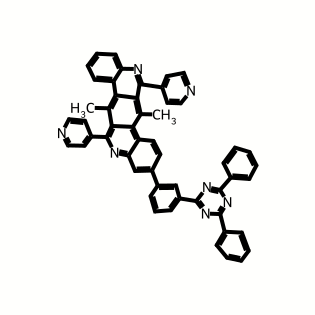 Cc1c2c(-c3ccncc3)nc3cc(-c4cccc(-c5nc(-c6ccccc6)nc(-c6ccccc6)n5)c4)ccc3c2c(C)c2c(-c3ccncc3)nc3ccccc3c12